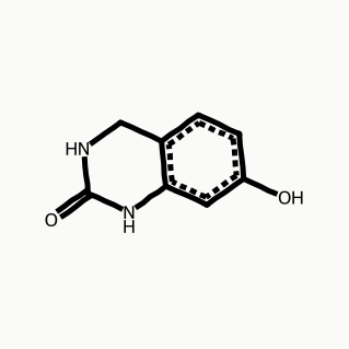 O=C1NCc2ccc(O)cc2N1